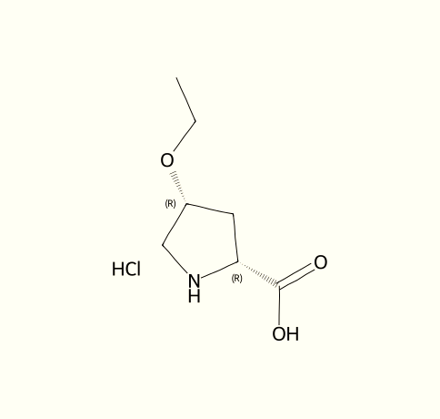 CCO[C@H]1CN[C@@H](C(=O)O)C1.Cl